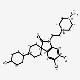 CC(C)C1CCC(N2CCC3(CC2)C(=O)N(CCN2CCN(C)CC2)c2cc(Cl)c(Cl)cc23)CC1